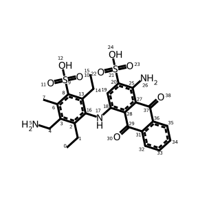 CCc1c(CN)c(C)c(S(=O)(=O)O)c(CC)c1Nc1cc(S(=O)(=O)O)c(N)c2c1C(=O)c1ccccc1C2=O